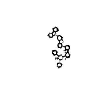 C1=CC2Sc3c(-c4cccc5c4oc4c(C6N=C(c7ccccc7)NC(c7ccccc7)N6)cccc45)cccc3C2C=C1n1c2ccccc2c2ccccc21